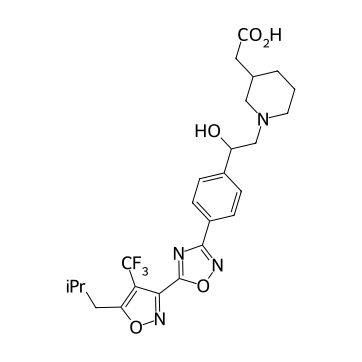 CC(C)Cc1onc(-c2nc(-c3ccc(C(O)CN4CCCC(CC(=O)O)C4)cc3)no2)c1C(F)(F)F